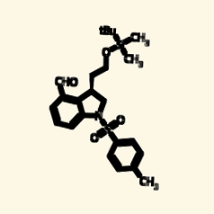 Cc1ccc(S(=O)(=O)N2C[C@H](CCO[Si](C)(C)C(C)(C)C)c3c(C=O)cccc32)cc1